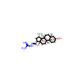 C[C@]12CC[C@H](O)C[C@H]1CC[C@@H]1[C@@H]2CC[C@]2(C)[C@@H](/C=N/NC(=N)N)CC[C@]12O.Cl